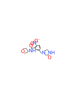 O=C1CN(Cc2ccc([N+](=O)[O-])c(C(=O)NC3CCOCC3)c2)CCN1